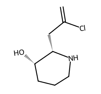 C=C(Cl)C[C@@H]1NCCC[C@@H]1O